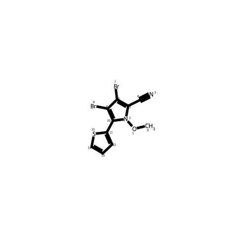 COn1c(C#N)c(Br)c(Br)c1-c1cccs1